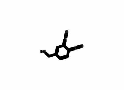 O=C=c1ccc(CO)cc1=C=O